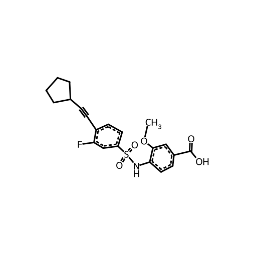 COc1cc(C(=O)O)ccc1NS(=O)(=O)c1ccc(C#CC2CCCC2)c(F)c1